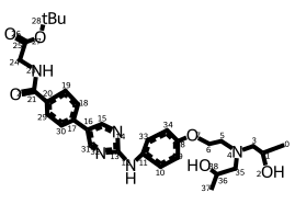 CC(O)CN(CCOc1ccc(Nc2ncc(-c3ccc(C(=O)NCC(=O)OC(C)(C)C)cc3)cn2)cc1)CC(C)O